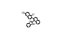 Clc1ccc2c(Cl)c(-c3ccc4ccccc4c3-c3nc4ccccc4[nH]3)ccc2c1